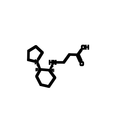 O=C(O)CCN[C@@H]1CCCC[C@H]1N1CCCC1